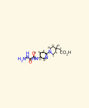 CC1(CC(=O)O)CCN(c2ccc(NC(=O)C(=O)NN)cn2)CC1